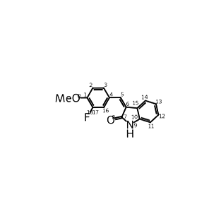 COc1ccc(C=C2C(=O)Nc3ccccc32)cc1F